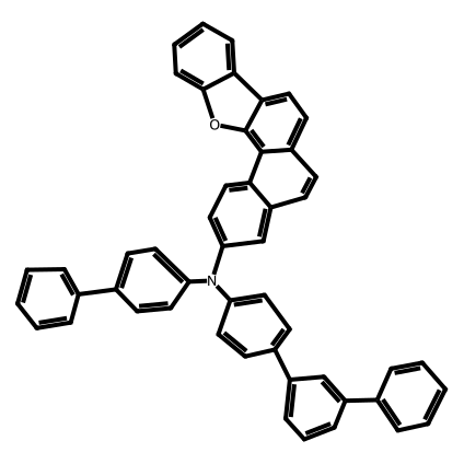 c1ccc(-c2ccc(N(c3ccc(-c4cccc(-c5ccccc5)c4)cc3)c3ccc4c(ccc5ccc6c7ccccc7oc6c54)c3)cc2)cc1